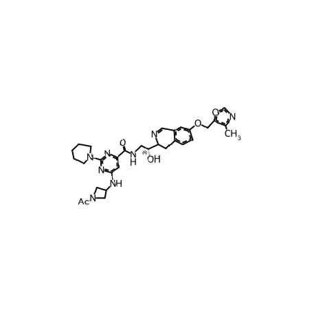 CC(=O)N1CC(Nc2cc(C(=O)NC[C@@H](O)C3Cc4ccc(OCc5ocnc5C)cc4C=N3)nc(N3CCCCC3)n2)C1